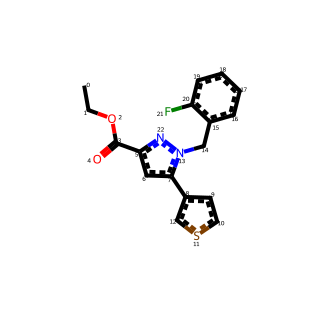 CCOC(=O)c1cc(-c2ccsc2)n(Cc2ccccc2F)n1